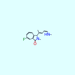 CN/C=C\C=C(/C)C1C2=C(C=C(F)C=C=C2)C(=O)N1C